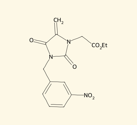 C=C1C(=O)N(Cc2cccc([N+](=O)[O-])c2)C(=O)N1CC(=O)OCC